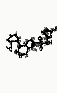 COc1ccccc1-c1nncc2cc(S(=O)(=O)Nc3ncc(F)s3)ccc12